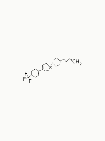 C=CCCC1CCC([C@H]2CC=C(C3CCC(C(F)(F)F)CC3)CC2)CC1